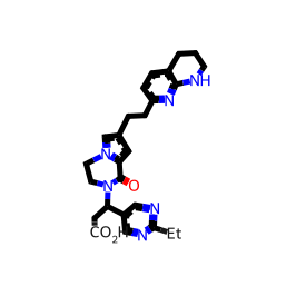 CCc1ncc(C(CC(=O)O)N2CCn3cc(CCc4ccc5c(n4)NCCC5)cc3C2=O)cn1